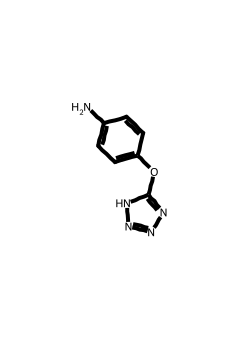 Nc1ccc(Oc2nnn[nH]2)cc1